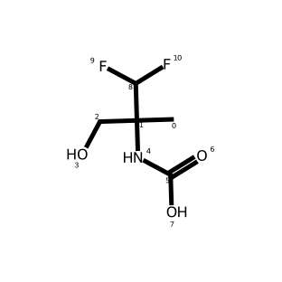 CC(CO)(NC(=O)O)C(F)F